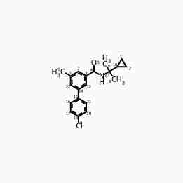 Cc1cc(C(=O)NC(C)(C)C2CC2)cc(-c2ccc(Cl)cc2)c1